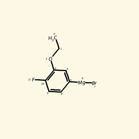 CCOc1c[c]([Mg][Br])ccc1F